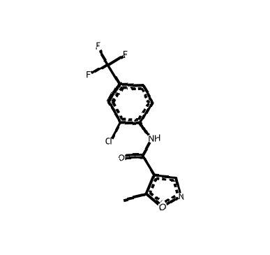 Cc1oncc1C(=O)Nc1ccc(C(F)(F)F)cc1Cl